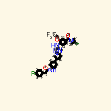 O=C(Cc1ccc(F)cc1)Nc1ccc(-c2ccc3nc(Nc4ccc(C(=O)N5CC(F)C5)cc4OCC(F)(F)F)nn3c2)cc1